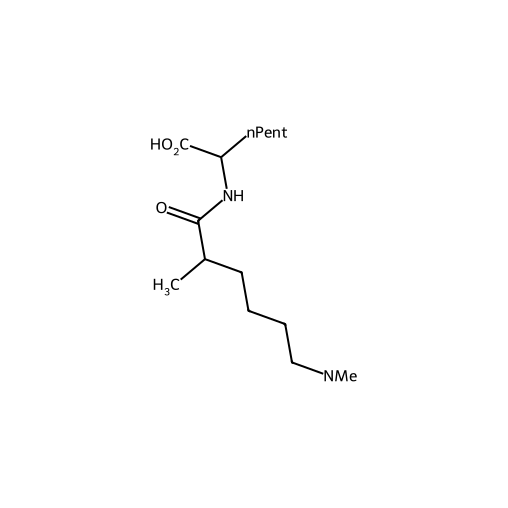 CCCCCC(NC(=O)C(C)CCCCNC)C(=O)O